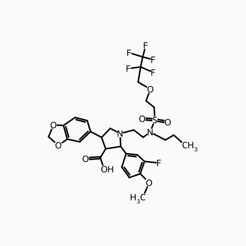 CCCN(CCN1CC(c2ccc3c(c2)OCO3)C(C(=O)O)C1c1ccc(OC)c(F)c1)S(=O)(=O)CCOCC(F)(F)C(F)(F)F